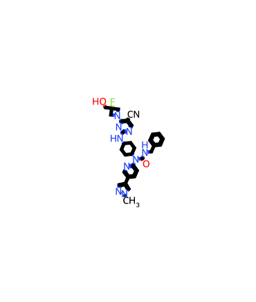 Cn1cc(-c2ccc(N(C(=O)NCc3ccccc3)C3CCC(Nc4ncc(C#N)c(N5CC(F)(CO)C5)n4)CC3)nc2)cn1